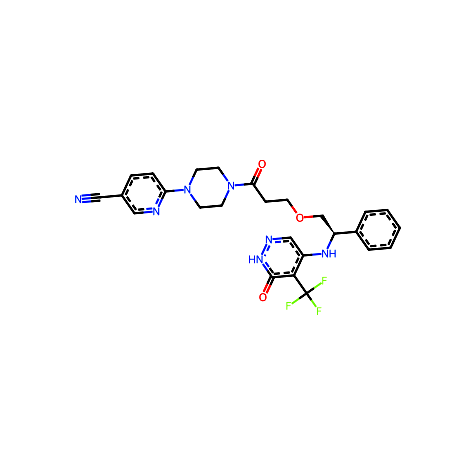 N#Cc1ccc(N2CCN(C(=O)CCOC[C@H](Nc3cn[nH]c(=O)c3C(F)(F)F)c3ccccc3)CC2)nc1